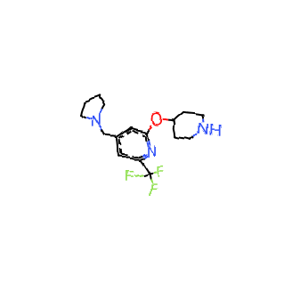 FC(F)(F)c1cc(CN2CCCC2)cc(OC2CCNCC2)n1